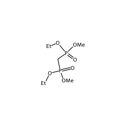 CCOP(=O)(CP(=O)(OC)OCC)OC